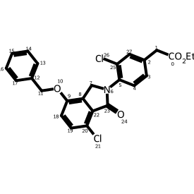 CCOC(=O)Cc1ccc(N2Cc3c(OCc4ccccc4)ccc(Cl)c3C2=O)c(Cl)c1